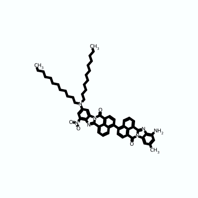 CCCCCCCCCCCCN(CCCCCCCCCCCC)c1cc([N+](=O)[O-])c2nc3c4cccc5c(-c6ccc7c(=O)n8c9cc(C)cc(N)c9nc8c8cccc6c78)ccc(c(=O)n3c2c1)c54